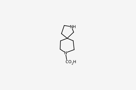 O=C(O)N1CCC2(CCNC2)CC1